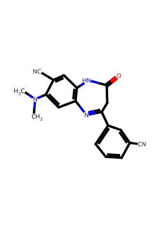 CN(C)c1cc2c(cc1C#N)NC(=O)CC(c1cccc(C#N)c1)=N2